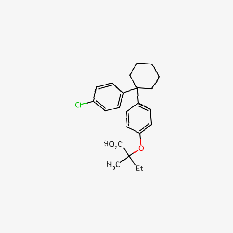 CCC(C)(Oc1ccc(C2(c3ccc(Cl)cc3)CCCCC2)cc1)C(=O)O